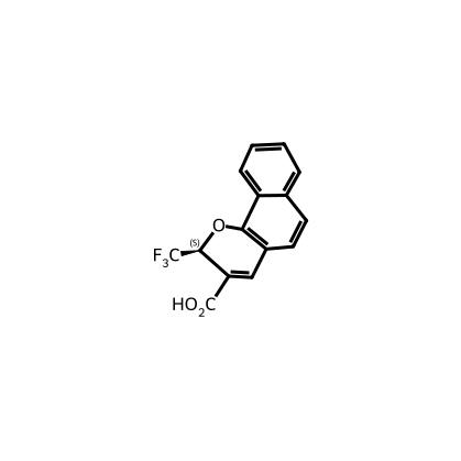 O=C(O)C1=Cc2ccc3ccccc3c2O[C@@H]1C(F)(F)F